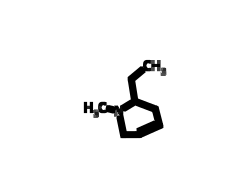 CCC1CC=CCN1C